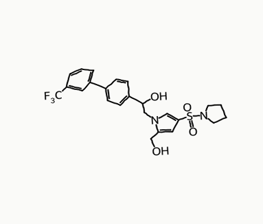 O=S(=O)(c1cc(CO)n(CC(O)c2ccc(-c3cccc(C(F)(F)F)c3)cc2)c1)N1CCCC1